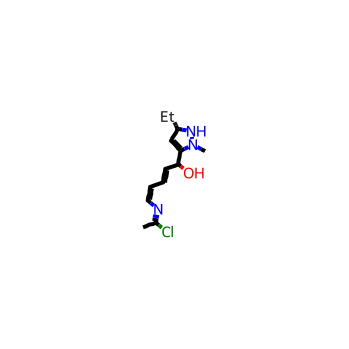 CCC1C=C(C(O)/C=C/C=C\N=C(/C)Cl)N(C)N1